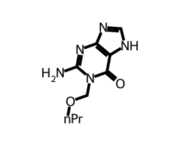 CCCOCn1c(N)nc2nc[nH]c2c1=O